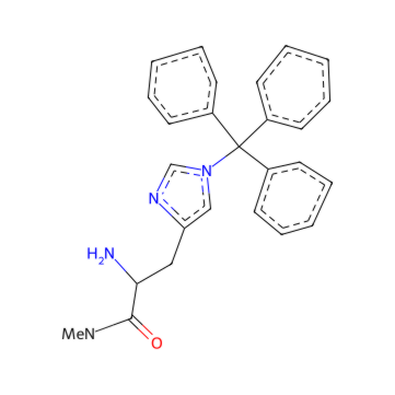 CNC(=O)C(N)Cc1cn(C(c2ccccc2)(c2ccccc2)c2ccccc2)cn1